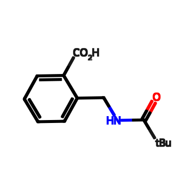 CC(C)(C)C(=O)NCc1ccccc1C(=O)O